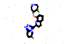 Fc1ccc2nnc(-c3ccc4cccc(O[C@@H]5CCNCC[C@H]5F)c4n3)n2c1